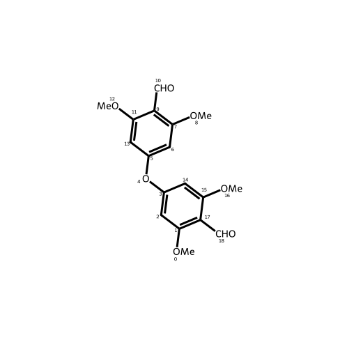 COc1cc(Oc2cc(OC)c(C=O)c(OC)c2)cc(OC)c1C=O